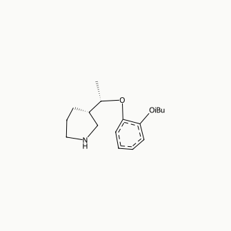 CC(C)COc1ccccc1O[C@@H](C)[C@H]1CCCNC1